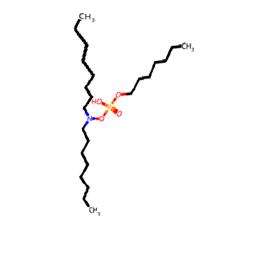 CCCCCCCCN(CCCCCCCC)OP(=O)(O)OCCCCCCC